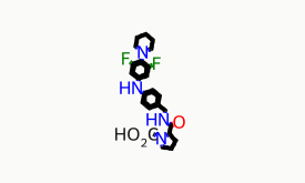 O=C(NCc1ccc(Nc2cc(F)c(N3CCCCC3)c(F)c2)cc1)C1CCCN1C(=O)O